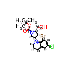 CC(C)(C)OC(=O)N1C[C@@H](N2CCCc3cc(Cl)cc(Br)c32)C[C@H]1CO